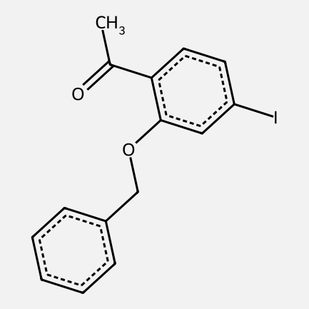 CC(=O)c1ccc(I)cc1OCc1ccccc1